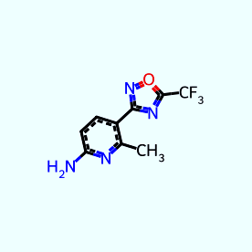 Cc1nc(N)ccc1-c1noc(C(F)(F)F)n1